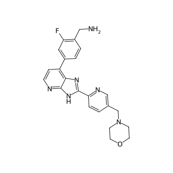 NCc1ccc(-c2ccnc3[nH]c(-c4ccc(CN5CCOCC5)cn4)nc23)cc1F